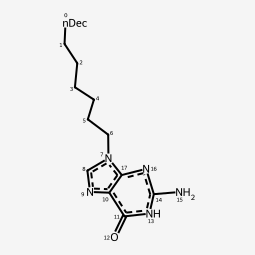 [CH2]CCCCCCCCCCCCCCCn1cnc2c(=O)[nH]c(N)nc21